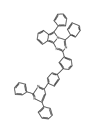 c1ccc(-c2cc(-c3ccc(-c4cccc(-c5nc(-c6ccccc6)n6c(-c7ccccc7)c7ccccc7c6n5)c4)cc3)nc(-c3ccccc3)n2)cc1